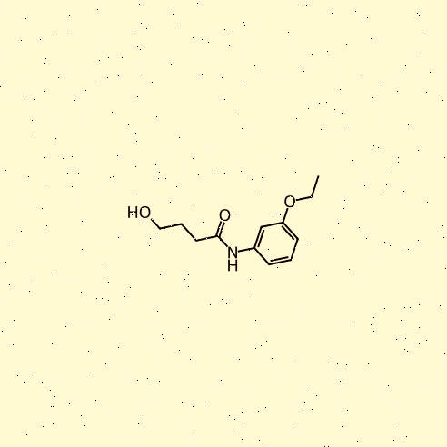 CCOc1cccc(NC(=O)CCCO)c1